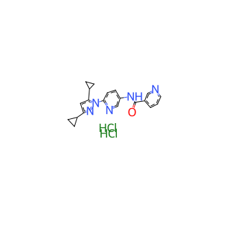 Cl.Cl.O=C(Nc1ccc(-n2nc(C3CC3)cc2C2CC2)nc1)c1cccnc1